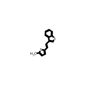 Cc1ccc(/C=C/c2csc3ccccc23)s1